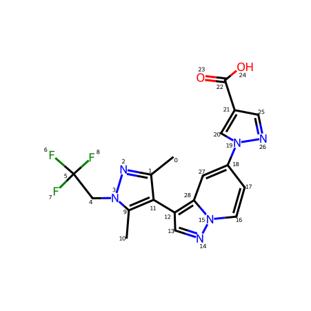 Cc1nn(CC(F)(F)F)c(C)c1-c1cnn2ccc(-n3cc(C(=O)O)cn3)cc12